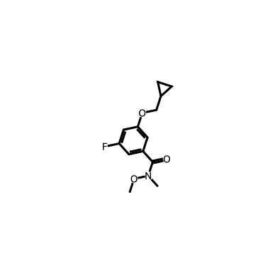 CON(C)C(=O)c1cc(F)cc(OCC2CC2)c1